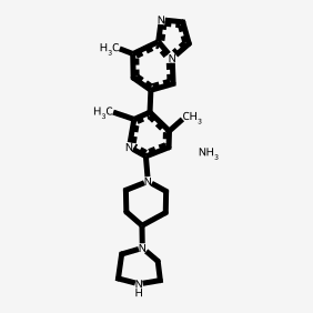 Cc1cc(N2CCC(N3CCNCC3)CC2)nc(C)c1-c1cc(C)c2nccn2c1.N